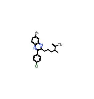 C=C(C#N)C(C)CCCc1nc2cc(C(C)=O)ccc2nc1-c1ccc(Cl)cc1